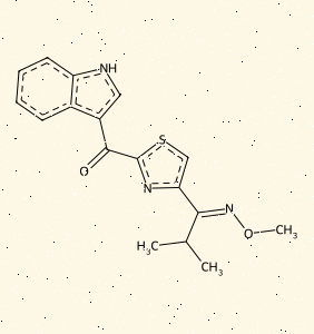 CO/N=C(/c1csc(C(=O)c2c[nH]c3ccccc23)n1)C(C)C